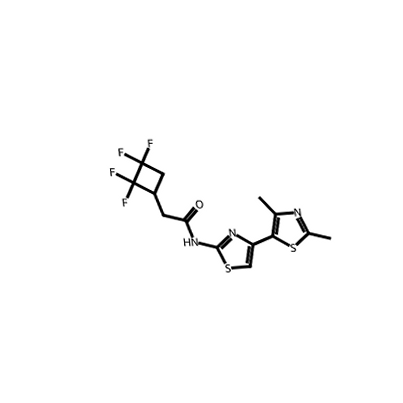 Cc1nc(C)c(-c2csc(NC(=O)CC3CC(F)(F)C3(F)F)n2)s1